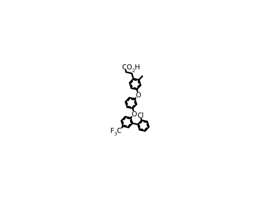 Cc1cc(Oc2cccc(Oc3ccc(C(F)(F)F)cc3-c3ccccc3Cl)c2)ccc1CCC(=O)O